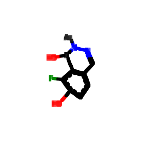 CC(=O)N1N=Cc2ccc(O)c(F)c2B1O